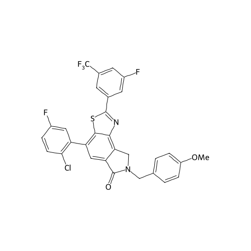 COc1ccc(CN2Cc3c(cc(-c4cc(F)ccc4Cl)c4sc(-c5cc(F)cc(C(F)(F)F)c5)nc34)C2=O)cc1